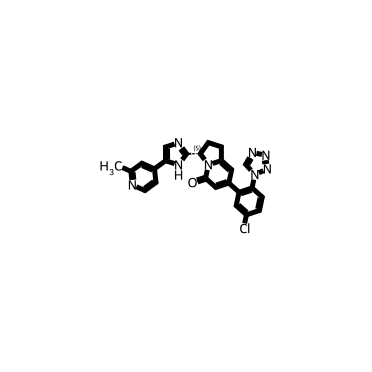 Cc1cc(-c2cnc([C@@H]3CCc4cc(-c5cc(Cl)ccc5-n5cnnn5)cc(=O)n43)[nH]2)ccn1